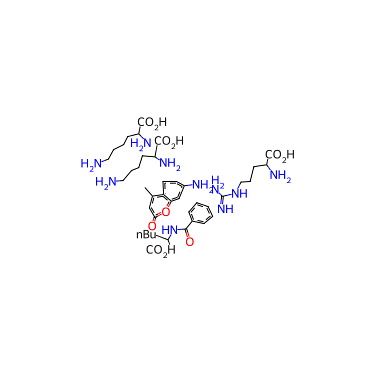 CCCCC(NC(=O)c1ccccc1)C(=O)O.Cc1cc(=O)oc2cc(N)ccc12.N=C(N)NCCCC(N)C(=O)O.NCCCCC(N)C(=O)O.NCCCCC(N)C(=O)O